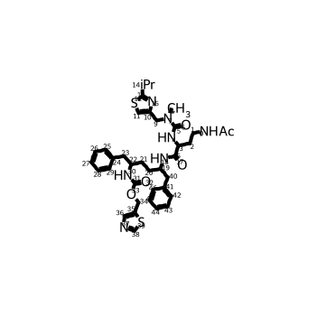 CC(=O)NCCC(NC(=O)N(C)Cc1csc(C(C)C)n1)C(=O)NC(CCC(Cc1ccccc1)NC(=O)OCc1cncs1)Cc1ccccc1